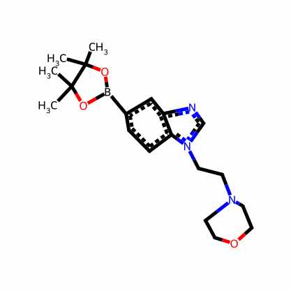 CC1(C)OB(c2ccc3c(c2)ncn3CCN2CCOCC2)OC1(C)C